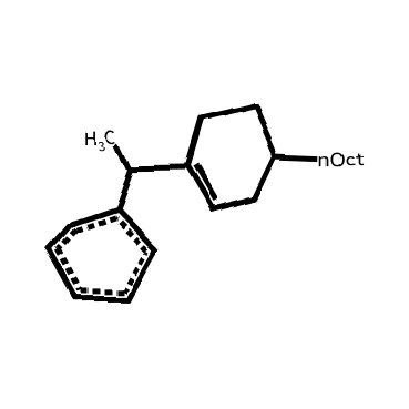 CCCCCCCCC1CC=C(C(C)c2ccccc2)CC1